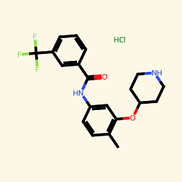 Cc1ccc(NC(=O)c2cccc(C(F)(F)F)c2)cc1OC1CCNCC1.Cl